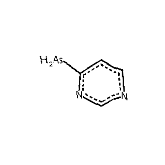 [AsH2]c1ccncn1